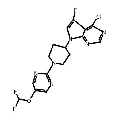 Fc1cn(C2CCN(c3ncc(OC(F)F)cn3)CC2)c2ncnc(Cl)c12